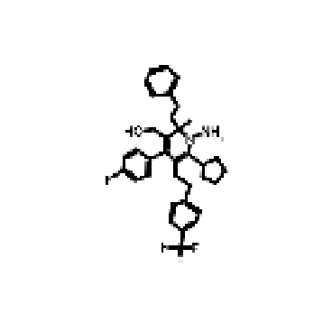 CC1(CCc2ccccc2)C(CO)=C(c2ccc(F)cc2)C(CCc2ccc(C(F)(F)F)cc2)=C(C2CCCC2)N1N